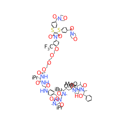 CCC(C)C(C(CC(=O)N1CCCC1C(OC)C(C)C(=O)NC(C)C(O)c1ccccc1)OC)N(C)C(=O)CNC(=O)C(C(C)C)N(C)C(=O)OCc1ccc(NC(=O)CNC(=O)C(NC(=O)COCCOCCOCCOc2ccc(N3C(=O)C(Sc4ccc(C(=O)N5CCOCC5)cc4)=C(Sc4ccc(C(=O)N5CCOCC5)cc4)C3=O)cc2C(F)(F)F)C(C)C)cc1